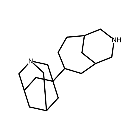 C1CC(C23CC4CC(CN(C4)C2)C3)CC2CNCC1C2